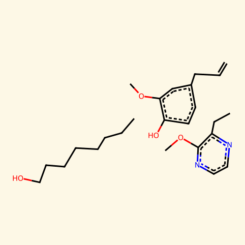 C=CCc1ccc(O)c(OC)c1.CCCCCCCCO.CCc1nccnc1OC